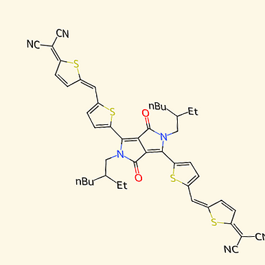 CCCCC(CC)CN1C(=O)C2=C(c3ccc(/C=c4\ccc(=C(C#N)C#N)s4)s3)N(CC(CC)CCCC)C(=O)C2=C1c1ccc(/C=c2\ccc(=C(C#N)C#N)s2)s1